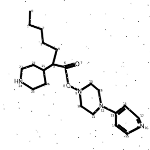 CCCCCC(C(=O)ON1CCN(c2ccncc2)CC1)C1CCNCC1